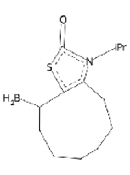 BC1CCCCCCc2c1sc(=O)n2C(C)C